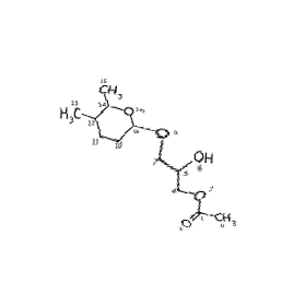 CC(=O)OCC(O)COC1CCC(C)C(C)O1